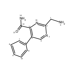 NCc1ncc(-c2ccccc2)c(C(N)=O)n1